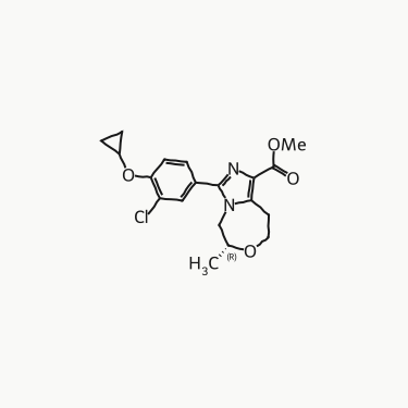 COC(=O)c1nc(-c2ccc(OC3CC3)c(Cl)c2)n2c1CCO[C@H](C)C2